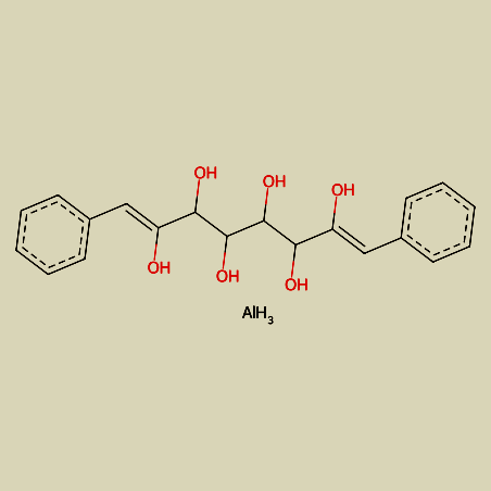 OC(=Cc1ccccc1)C(O)C(O)C(O)C(O)C(O)=Cc1ccccc1.[AlH3]